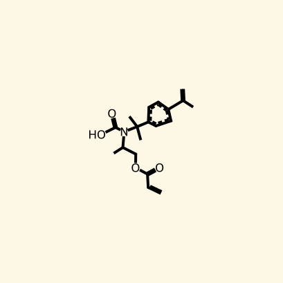 C=CC(=O)OCC(C)N(C(=O)O)C(C)(C)c1ccc(C(=C)C)cc1